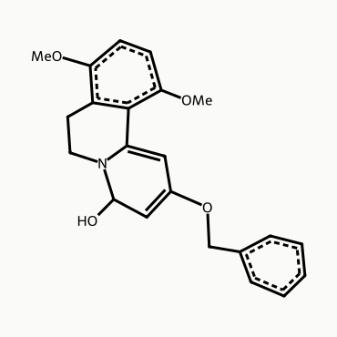 COc1ccc(OC)c2c1CCN1C2=CC(OCc2ccccc2)=CC1O